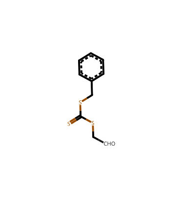 O=CCSC(=S)SCc1ccccc1